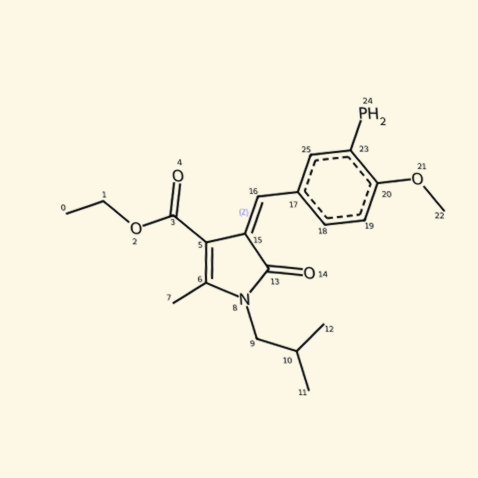 CCOC(=O)C1=C(C)N(CC(C)C)C(=O)/C1=C\c1ccc(OC)c(P)c1